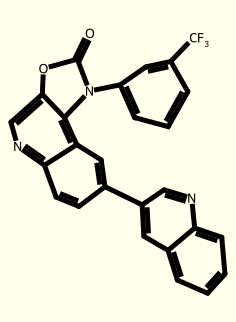 O=c1oc2cnc3ccc(-c4cnc5ccccc5c4)cc3c2n1-c1cccc(C(F)(F)F)c1